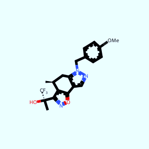 COc1ccc(Cn2ncc3c2C[C@H](C)c2c([C@@](C)(O)C(F)(F)F)noc2-3)cc1